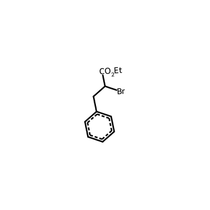 CCOC(=O)C(Br)Cc1ccccc1